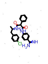 CC(Cc1ccc(Cl)cc1)NC(=O)C(C(=O)Nc1ccc(C(=N)N)cc1)c1ccccc1